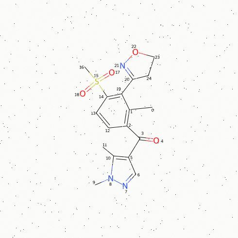 Cc1c(C(=O)c2cnn(C)c2C)ccc(S(C)(=O)=O)c1C1=NOCC1